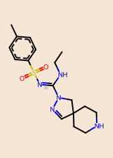 CCN/C(=N\S(=O)(=O)c1ccc(C)cc1)N1CC2(C=N1)CCNCC2